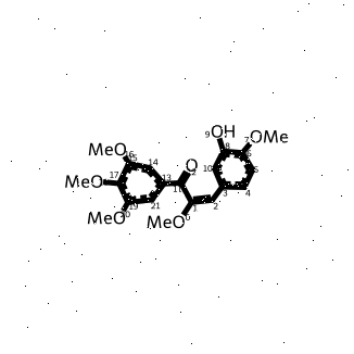 CO/C(=C/c1ccc(OC)c(O)c1)C(=O)c1cc(OC)c(OC)c(OC)c1